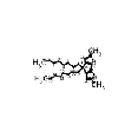 CCCCCCCCC1(CCCCCCCC)c2cc(C)sc2-c2sc(C)cc21